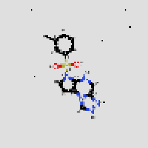 Cc1cccc(S(=O)(=O)n2ccc3c2ncc2nn[c]n23)c1